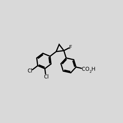 O=C(O)c1cccc(C2(F)CC2c2ccc(Cl)c(Cl)c2)c1